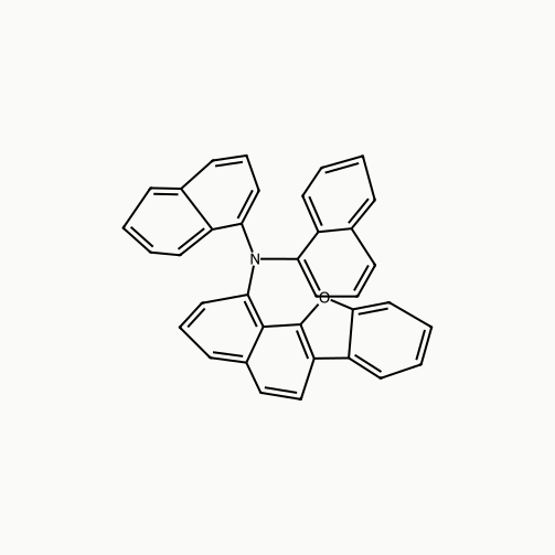 c1ccc2c(N(c3cccc4ccccc34)c3cccc4ccc5c6ccccc6oc5c34)cccc2c1